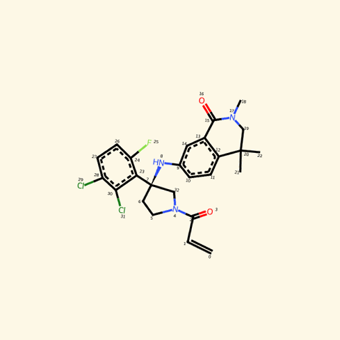 C=CC(=O)N1CC[C@](Nc2ccc3c(c2)C(=O)N(C)CC3(C)C)(c2c(F)ccc(Cl)c2Cl)C1